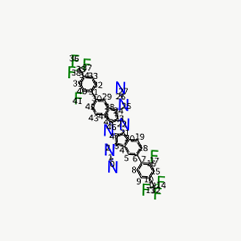 N#C/N=c1\c2cc(-c3ccc(C(F)(F)F)cc3F)ccc2c2nc3/c(=N/C#N)c4cc(-c5ccc(C(F)(F)F)cc5F)ccc4c3nc12